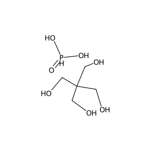 O=[PH](O)O.OCC(CO)(CO)CO